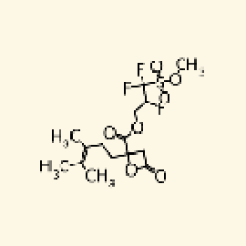 COS(=O)(=O)C(F)(F)C(F)COC(=O)C1(CCC(C)=C(C)C)CC(=O)O1